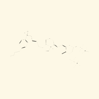 C=C1/C(=C\C=C2/CCC[C@]3(C)[C@@H]([C@H](C)/C=C/[C@@H](O)C4(c5ccc(CCCC)cc5)CC4)CC[C@@H]23)C[C@@H](O[Si](C)(C)C(C)(C)C)C[C@@H]1O[Si](C)(C)C(C)(C)C